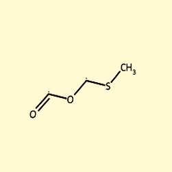 CS[CH]O[C]=O